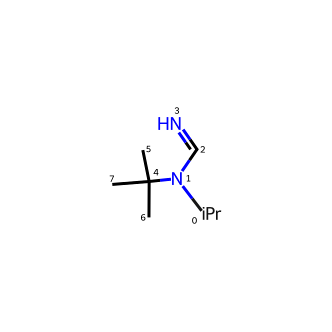 CC(C)N(C=N)C(C)(C)C